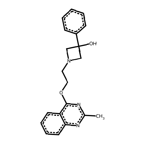 Cc1nc(OCCN2CC(O)(c3ccccc3)C2)c2ccccc2n1